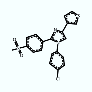 CS(=O)(=O)c1ccc(-c2nc(-c3ccsc3)cn2-c2ccc(Cl)cc2)cc1